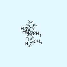 CC(C)c1ccc2c(c1)[C@]1(C)Cc3ccccc3[C@]1(C)N2